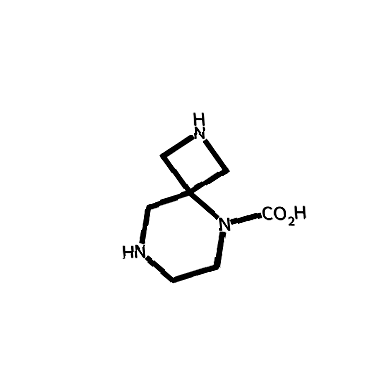 O=C(O)N1CCNCC12CNC2